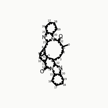 Cc1ccc2c3c(C)c(ccc3c(=O)n3c4ccccc4nc23)c2nc3ccccc3n2c1=O